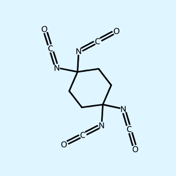 O=C=NC1(N=C=O)CCC(N=C=O)(N=C=O)CC1